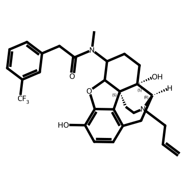 C=CCN1CC[C@]23c4c5ccc(O)c4OC2C(N(C)C(=O)Cc2cccc(C(F)(F)F)c2)CC[C@@]3(O)[C@H]1C5